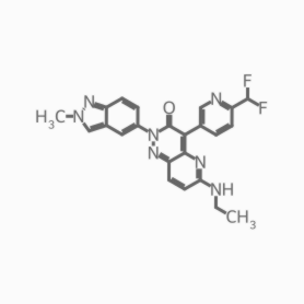 CCNc1ccc2nn(-c3ccc4nn(C)cc4c3)c(=O)c(-c3ccc(C(F)F)nc3)c2n1